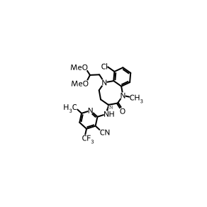 COC(CN1CC[C@H](Nc2nc(C)cc(C(F)(F)F)c2C#N)C(=O)N(C)c2cccc(Cl)c21)OC